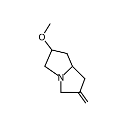 C=C1CC2CC(OC)CN2C1